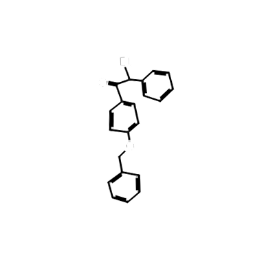 CCC(C(=O)c1ccc(OCc2ccccc2)cc1)c1ccccc1